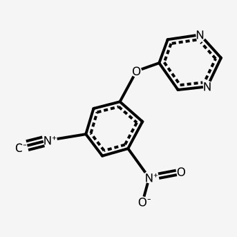 [C-]#[N+]c1cc(Oc2cncnc2)cc([N+](=O)[O-])c1